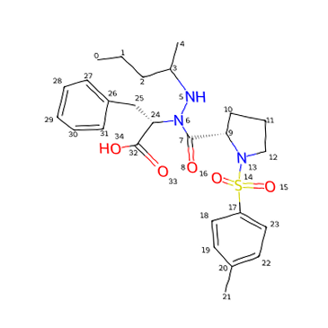 CCCC(C)NN(C(=O)[C@@H]1CCCN1S(=O)(=O)c1ccc(C)cc1)[C@@H](Cc1ccccc1)C(=O)O